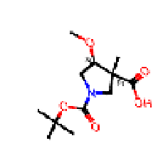 CO[C@@H]1CN(C(=O)OC(C)(C)C)C[C@@]1(C)C(=O)O